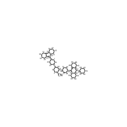 N#Cc1ccc(-c2ccc(-n3c4ccccc4c4ccccc43)cc2)cc1-c1ccc(-c2c3ccccc3c(-c3ccccc3)c3ccccc23)cc1